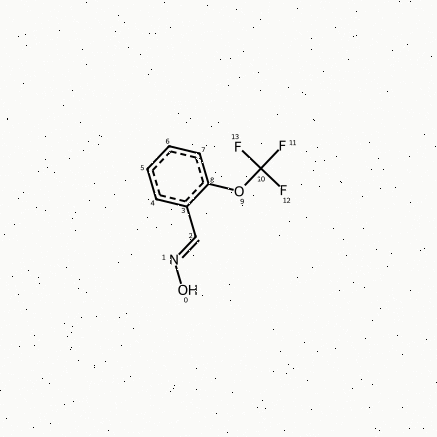 ON=Cc1ccccc1OC(F)(F)F